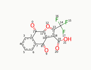 O=C1c2ccccc2C(=O)c2c1oc(C(F)(F)F)c2C(=O)O